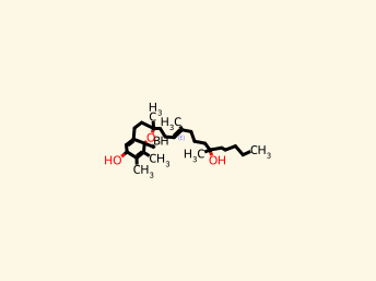 B=CC12OC(C)(CC/C=C(\C)CCCC(C)(O)CCCCC)CCC1=CC(O)C(C)=C2C